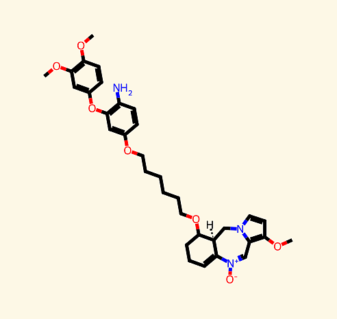 COc1ccc(Oc2cc(OCCCCCCOC3CCC=C4[C@@H]3Cn3ccc(OC)c3C=[N+]4[O-])ccc2N)cc1OC